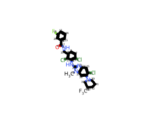 Cn1c(Nc2c(Cl)ccc(CNC(=O)c3cccc(F)c3)c2Cl)nc2cc(Cl)c(N3CCCC(C(F)(F)F)C3)cc21